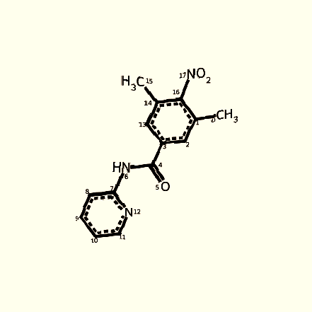 Cc1cc(C(=O)Nc2ccccn2)cc(C)c1[N+](=O)[O-]